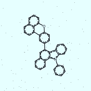 c1ccc(-n2c3ccccc3c3c(-c4ccc5c(c4)-c4cccc6cccc(c46)O5)cc4ccccc4c32)cc1